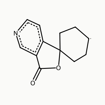 O=C1OC2(CC[CH]CC2)c2ccncc21